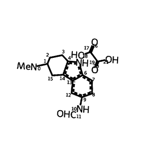 CNC1CCc2[nH]c3ccc(NC=O)cc3c2C1.O=C(O)C(=O)O